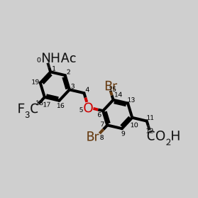 CC(=O)Nc1cc(COc2c(Br)cc(CC(=O)O)cc2Br)cc(C(F)(F)F)c1